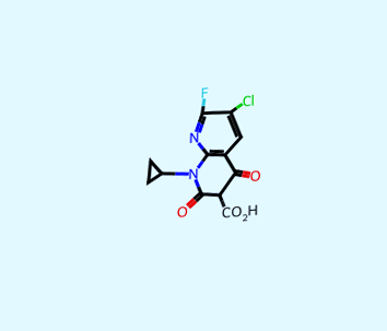 O=C(O)C1C(=O)c2cc(Cl)c(F)nc2N(C2CC2)C1=O